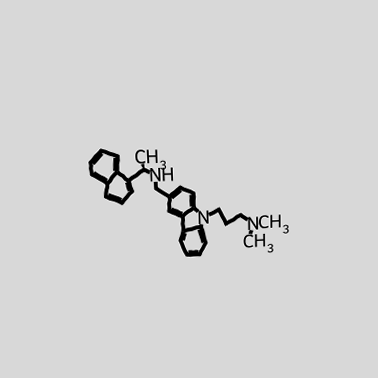 C[C@@H](NCc1ccc2c(c1)c1ccccc1n2CCCN(C)C)c1cccc2ccccc12